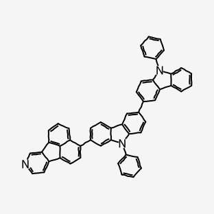 c1ccc(-n2c3ccccc3c3cc(-c4ccc5c(c4)c4ccc(-c6ccc7c8c(cccc68)-c6cnccc6-7)cc4n5-c4ccccc4)ccc32)cc1